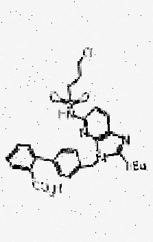 CCCCc1nc2ccc(NS(=O)(=O)CCCCl)nc2n1Cc1ccc(-c2ccccc2C(=O)O)cc1